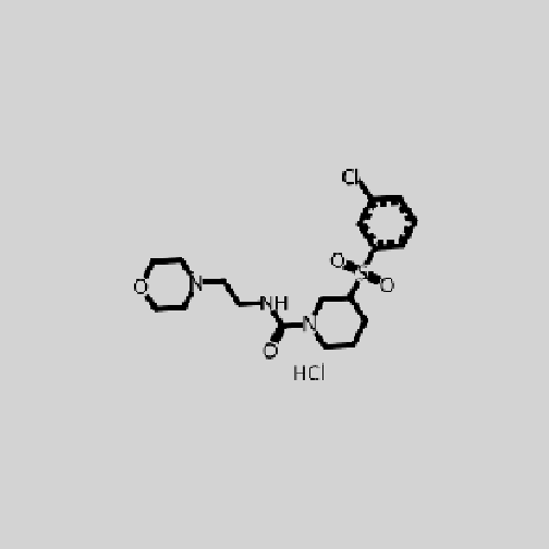 Cl.O=C(NCCN1CCOCC1)N1CCCC(S(=O)(=O)c2cccc(Cl)c2)C1